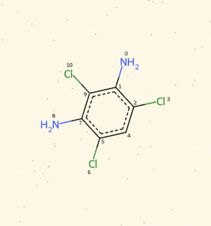 Nc1c(Cl)cc(Cl)c(N)c1Cl